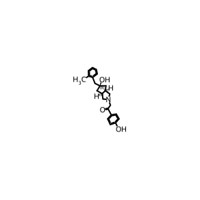 Cc1ccccc1C[C@]1(O)C[C@H]2CN(CC(=O)c3ccc(O)cc3)C[C@H]2C1